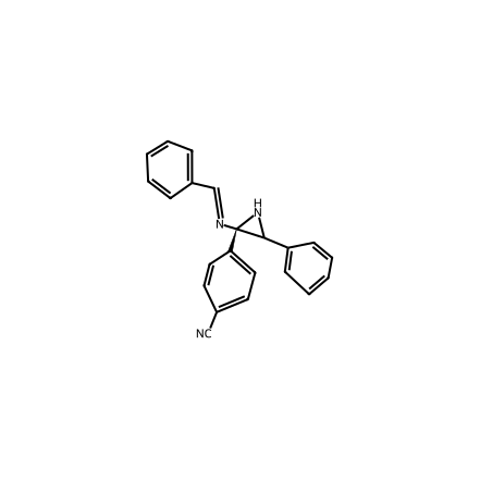 N#Cc1ccc([C@@]2(/N=C/c3ccccc3)NC2c2ccccc2)cc1